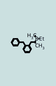 CCB(C)C(C)Cc1ccccc1Cc1ccccc1